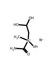 CCC[N+](C)(CC(O)O)C(N)=O.[Br-]